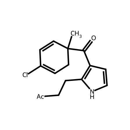 CC(=O)CCc1[nH]ccc1C(=O)C1(C)C=CC(Cl)=CC1